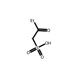 CCC(=O)[CH]S(=O)(=O)O